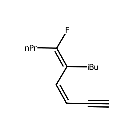 C#C/C=C\C(=C(\F)CCC)C(C)CC